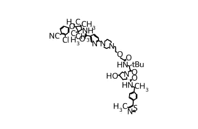 Cc1ncsc1-c1ccc([C@H](C)NC(=O)[C@@H]2CC(O)CN2C(=O)[C@@H](NC(=O)COCCN2CCN(c3ccc(C(=O)N[C@H]4C(C)(C)[C@H](Oc5ccc(C#N)c(Cl)c5)C4(C)C)cn3)CC2)C(C)(C)C)cc1